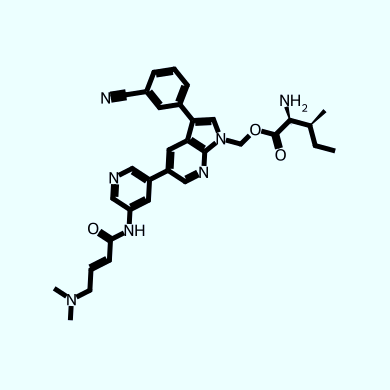 CC[C@H](C)[C@H](N)C(=O)OCn1cc(-c2cccc(C#N)c2)c2cc(-c3cncc(NC(=O)/C=C/CN(C)C)c3)cnc21